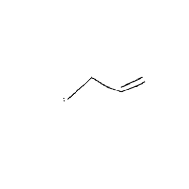 [CH]CC=C